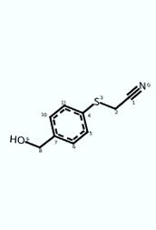 N#CCSc1ccc(CO)cc1